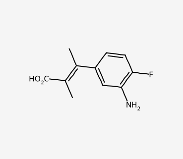 CC(C(=O)O)=C(C)c1ccc(F)c(N)c1